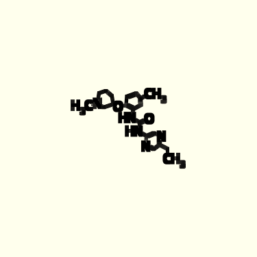 CCc1cnc(NC(=O)Nc2cc(C)ccc2OC2CCCN(C)C2)cn1